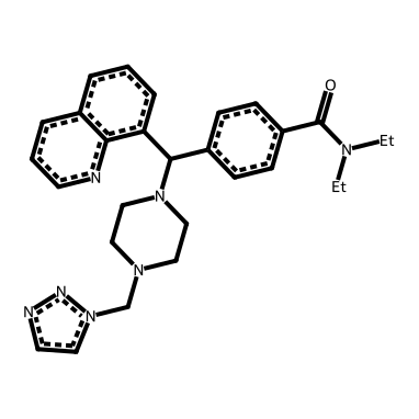 CCN(CC)C(=O)c1ccc(C(c2cccc3cccnc23)N2CCN(Cn3ccnn3)CC2)cc1